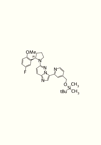 COc1ccc(F)cc1[C@H]1CCCN1c1ccc2ncc(-c3cc(CO[Si](C)(C)C(C)(C)C)ccn3)n2n1